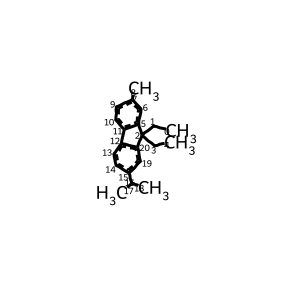 CCC1(CC)c2cc(C)ccc2-c2ccc(C(C)C)cc21